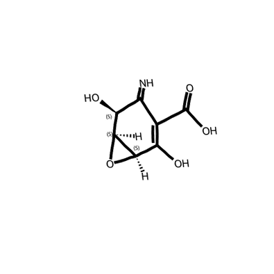 N=C1C(C(=O)O)=C(O)[C@H]2O[C@H]2[C@H]1O